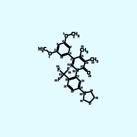 COc1cc(OC)cc(-c2nn(-c3cc(N4CCCC4)ccc3C(F)(F)F)c(=O)c(C)c2C)c1